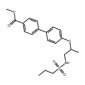 CCCS(=O)(=O)NCC(C)Oc1ccc(-c2ccc(C(=O)OC)cc2)cc1